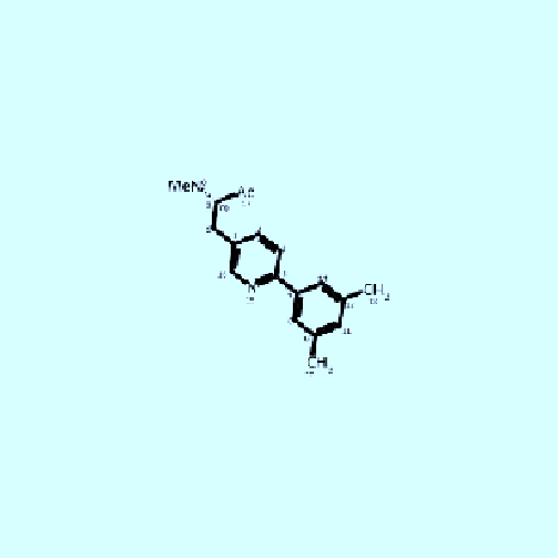 CN[C@@H](Cc1ccc(-c2cc(C)cc(C)c2)nc1)C(C)=O